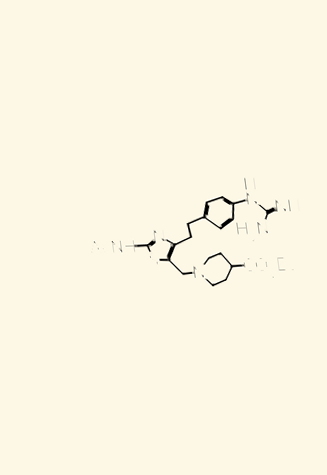 CCOC(=O)C1CCN(Cc2sc(NC(C)=O)nc2CCc2ccc(NC(=N)N)cc2)CC1